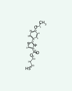 CCOc1ccc(-c2nc(C(=O)OCCCS)cs2)cc1